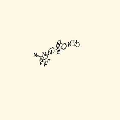 N#Cc1nc(N2CCC(S(=O)(=O)c3ccc(N4CCN5CCC=C5C4)cc3Cl)C2)cc(C(F)(F)F)n1